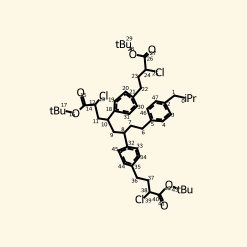 CC(C)Cc1ccc(CCC(CC(CC(Cl)C(=O)OC(C)(C)C)c2ccc(CCC(Cl)C(=O)OC(C)(C)C)cc2)c2ccc(CCC(Cl)C(=O)OC(C)(C)C)cc2)cc1